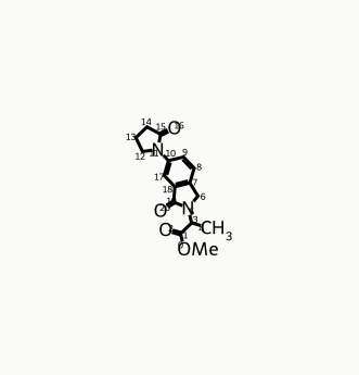 COC(=O)C(C)N1Cc2ccc(N3CCCC3=O)cc2C1=O